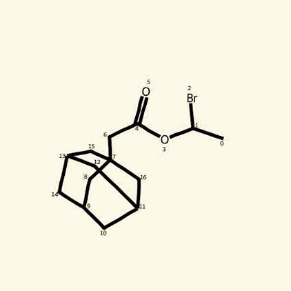 CC(Br)OC(=O)CC12CC3CC(CC(C3)C1)C2